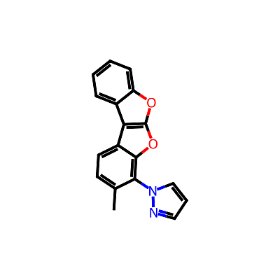 Cc1ccc2c(oc3oc4ccccc4c32)c1-n1cccn1